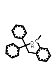 COc1c[c]ccc1CC(O)(c1ccccc1)c1ccccc1